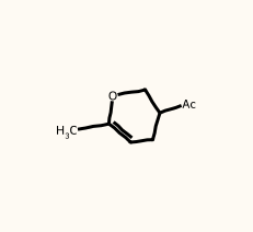 CC(=O)C1CC=C(C)OC1